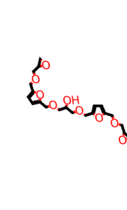 OC(COCc1ccc(COCC2CO2)o1)COCc1ccc(COCC2CO2)o1